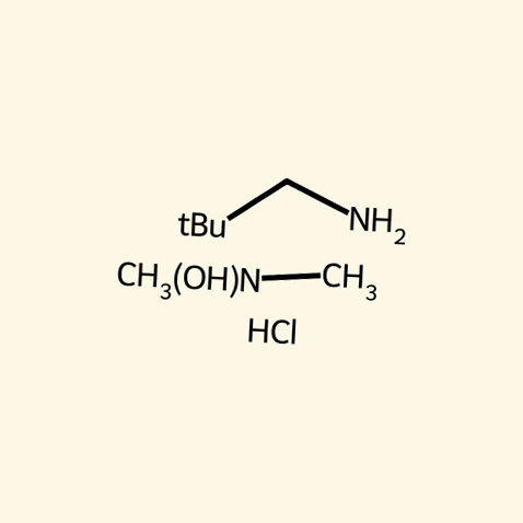 CC(C)(C)CN.CN(C)O.Cl